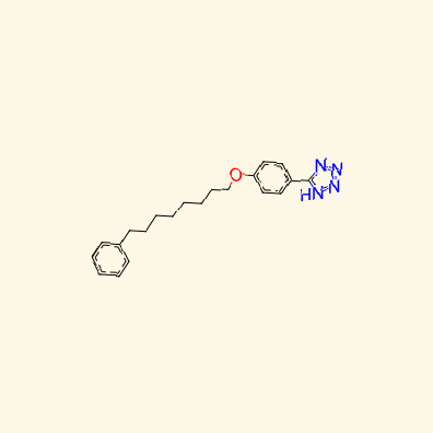 c1ccc(CCCCCCCCOc2ccc(-c3nnn[nH]3)cc2)cc1